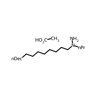 CC(=O)O.CCCCCCCCCCCCCCCCCCN(N)CCC